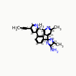 CC#Cc1cncc(-c2cccc(C3(c4cc(C)nc(C)c4)N=C(C)C(N)=N3)c2)c1